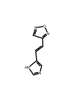 C(=Cc1cnc[nH]1)c1cnon1